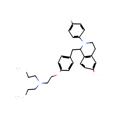 COCCN(CCOC)CCOc1ccc(CC2c3ccc(O)cc3CCN2c2ccc(F)cc2)cc1